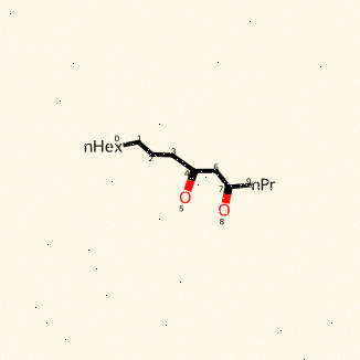 CCCCCCCCCC(=O)CC(=O)CCC